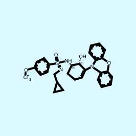 O=S(=NCC1CC1)(N[C@H]1CCC=C(N2c3ccccc3Oc3ccccc32)[C@H]1O)c1ccc(OC(F)(F)F)cc1